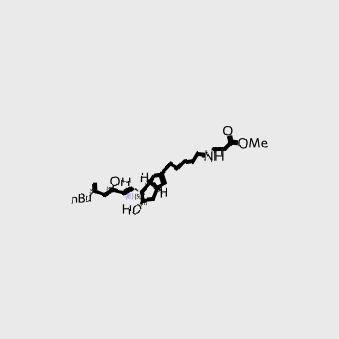 CCCC[C@H](C)C[C@H](O)/C=C/[C@@H]1[C@H]2CC(CCCCCNCCC(=O)OC)=C[C@H]2C[C@H]1O